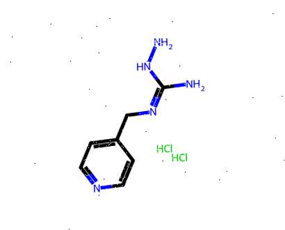 Cl.Cl.NNC(N)=NCc1ccncc1